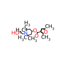 Cc1cc(C(=O)OC2CC(C)(C)N(CCO)C(C)(C)C2)c(C)o1